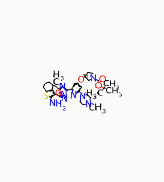 CN1CCN(c2cc(O[C@H]3CCN(C(=O)OC(C)(C)C)C3)cc(-c3noc(C4(C)CCCc5sc(N)c(C#N)c54)n3)n2)CC1